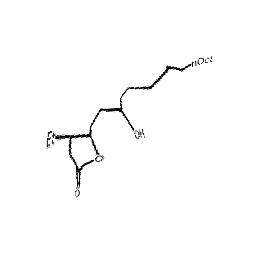 CCCCCCCCCCCC(O)CC1OC(=O)C1CC